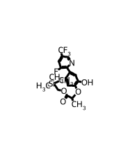 CC(Oc1ccc(-c2ncc(C(F)(F)F)cc2F)cc1O)C(=O)OC[Si](C)(C)C